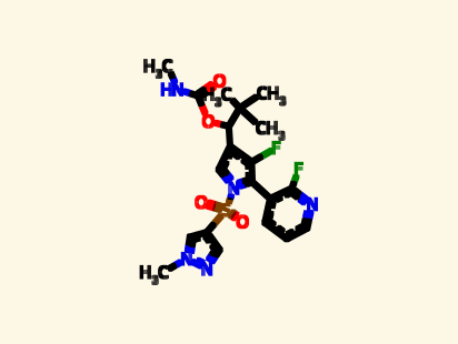 CNC(=O)OC(c1cn(S(=O)(=O)c2cnn(C)c2)c(-c2cccnc2F)c1F)C(C)(C)C